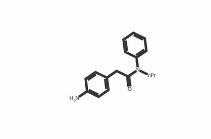 CCCN(C(=O)Cc1ccc(N)cc1)c1ccccc1